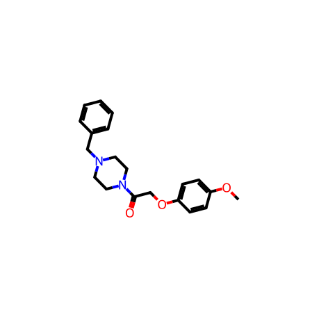 COc1ccc(OCC(=O)N2CCN(Cc3ccccc3)CC2)cc1